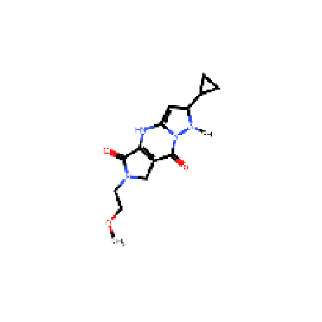 [2H]N1C(C2CC2)C=C2NC3=C(CN(CCOC)C3=O)C(=O)N21